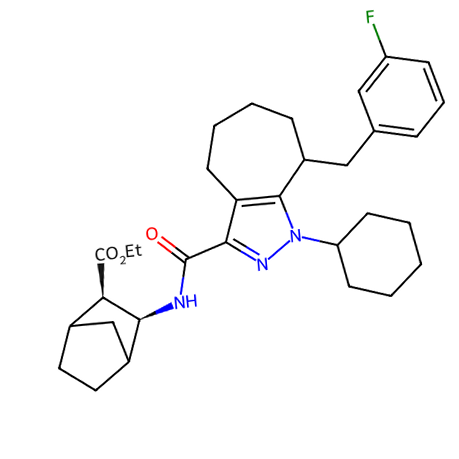 CCOC(=O)[C@@H]1C2CCC(C2)[C@@H]1NC(=O)c1nn(C2CCCCC2)c2c1CCCCC2Cc1cccc(F)c1